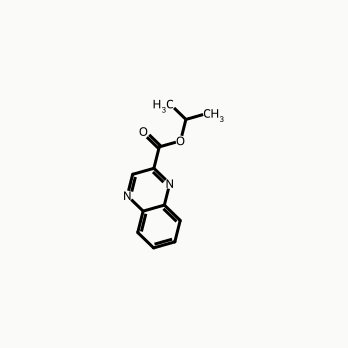 CC(C)OC(=O)c1cnc2ccccc2n1